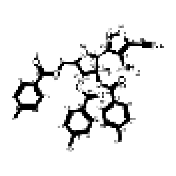 Cc1ccc(C(=O)OCC2O[C@@H](c3noc(C#N)c3N)[C@](C)(OC(=O)c3ccc(C)cc3)[C@@H]2OC(=O)c2ccc(C)cc2)cc1